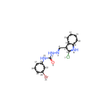 O=C(NN=Cc1c(Cl)[nH]c2ccccc12)Nc1cccc(Br)c1